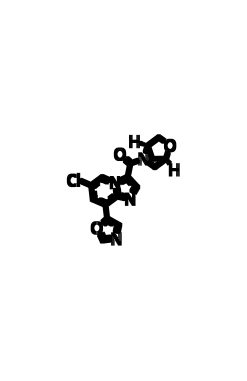 O=C(c1cnc2c(-c3cnco3)cc(Cl)cn12)N1C[C@@H]2C[C@H]1CO2